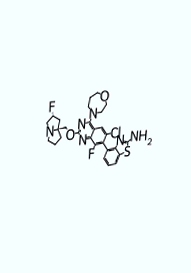 Nc1nc2c(-c3c(Cl)cc4c(N5CCCOCC5)nc(OC[C@@]56CCCN5C[C@H](F)C6)nc4c3F)cccc2s1